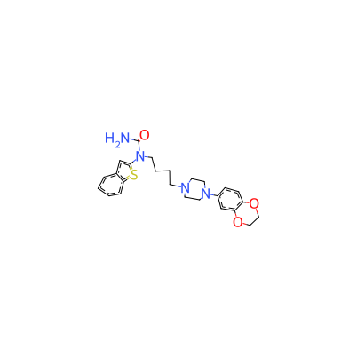 NC(=O)N(CCCCN1CCN(c2ccc3c(c2)OCCO3)CC1)c1cc2ccccc2s1